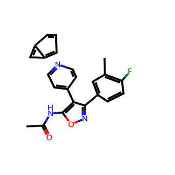 CC(=O)Nc1onc(-c2ccc(F)c(C)c2)c1-c1ccncc1.c1cc2cc-2c1